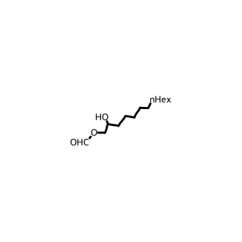 CCCCCCCCCCCC(O)COC=O